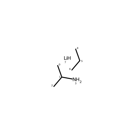 CC(C)N.CCC.[LiH]